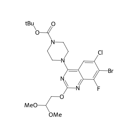 COC(COc1nc(N2CCN(C(=O)OC(C)(C)C)CC2)c2cc(Cl)c(Br)c(F)c2n1)OC